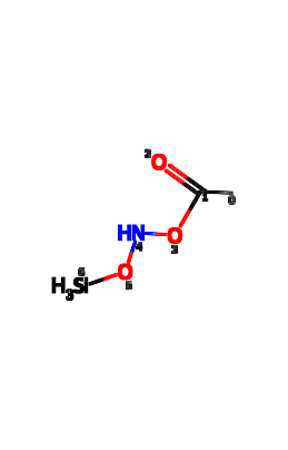 CC(=O)ONO[SiH3]